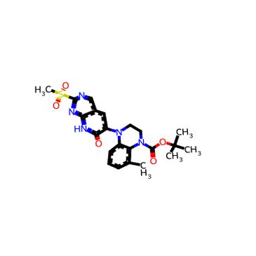 Cc1cccc2c1N(C(=O)OC(C)(C)C)CCN2c1cc2cnc(S(C)(=O)=O)nc2[nH]c1=O